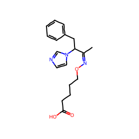 C/C(=N/OCCCCC(=O)O)C(Cc1ccccc1)n1ccnc1